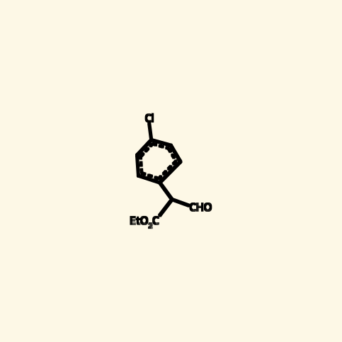 CCOC(=O)C(C=O)c1ccc(Cl)cc1